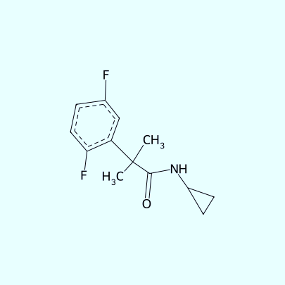 CC(C)(C(=O)NC1CC1)c1cc(F)ccc1F